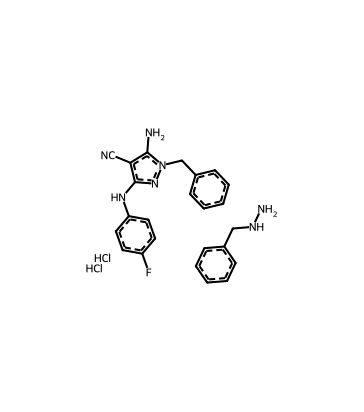 Cl.Cl.N#Cc1c(Nc2ccc(F)cc2)nn(Cc2ccccc2)c1N.NNCc1ccccc1